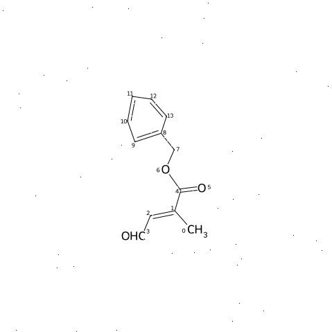 CC(=CC=O)C(=O)OCc1ccccc1